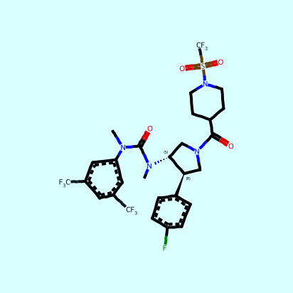 CN(C(=O)N(C)[C@@H]1CN(C(=O)C2CCN(S(=O)(=O)C(F)(F)F)CC2)C[C@H]1c1ccc(F)cc1)c1cc(C(F)(F)F)cc(C(F)(F)F)c1